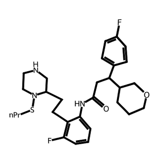 CCCSN1CCNCC1CCc1c(F)cccc1NC(=O)CC(c1ccc(F)cc1)C1CCCOC1